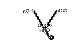 CCCCCCCCC=CCCCCCCCC(=O)OCC(COC(=O)CCCCCCCC=CCCCCCCCC)NC(=O)OCCN1CCCCC1